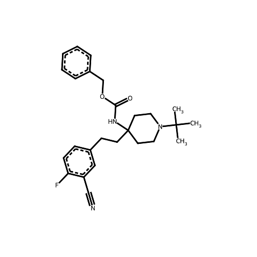 CC(C)(C)N1CCC(CCc2ccc(F)c(C#N)c2)(NC(=O)OCc2ccccc2)CC1